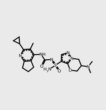 Cc1c(C2CC2)nc2c(c1NC(=O)N=S(N)(=O)c1cnn3c1OCC(N(C)C)C3)CCC2